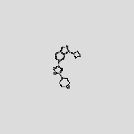 c1cc2cnn(C3COC3)c2cc1-c1nc(N2CCNCC2)no1